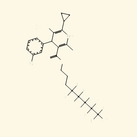 CCOC(=O)C1=C(C2CC2)NC(C)=C(C(=O)OCCCC(F)(F)C(F)(F)C(F)(F)C(F)(F)C(F)(F)C(F)(F)F)C1c1cccc([N+](=O)[O-])c1